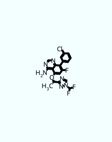 C[C@@H](Oc1cc(F)c(-c2cccc(Cl)c2)c2ncnc(N)c12)c1ncn(C(F)F)n1